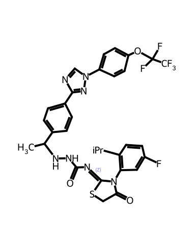 CC(C)c1ccc(F)cc1N1C(=O)CS/C1=N\C(=O)NNC(C)c1ccc(-c2ncn(-c3ccc(OC(F)(F)C(F)(F)F)cc3)n2)cc1